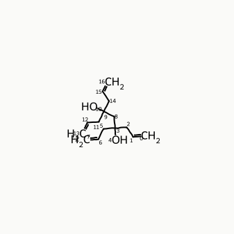 C=CCC(O)(CC=C)CC(O)(CC=C)CC=C